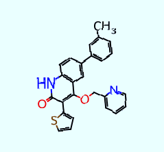 Cc1cccc(-c2ccc3[nH]c(=O)c(-c4cccs4)c(OCc4ccccn4)c3c2)c1